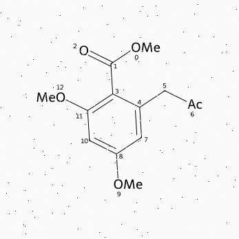 COC(=O)c1c(CC(C)=O)cc(OC)cc1OC